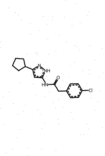 O=C(Cc1ccc(Cl)cc1)Nc1cc(C2CCCC2)n[nH]1